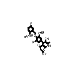 CCCNc1ccc(F)cc1COc1c(Br)cc(C2C(C#N)=C(C)NC3=C2C(=O)CC(CCC)C3)cc1OCC